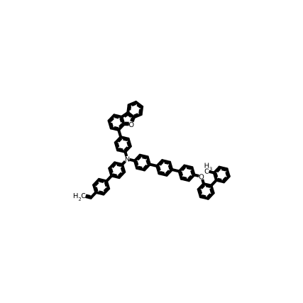 C=Cc1ccc(-c2ccc(N(c3ccc(-c4ccc(-c5ccc(Oc6ccccc6-c6ccccc6C)cc5)cc4)cc3)c3ccc(-c4cccc5c4oc4ccccc45)cc3)cc2)cc1